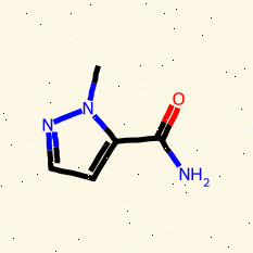 Cn1nccc1C(N)=O